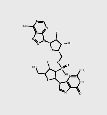 Nc1nc2c(ncn2C2OC(CO)[C@@H](F)[C@H]2P(=O)(S)OC[C@H]2O[C@@H](n3nnc4c(N)ncnc43)[C@@H](F)[C@@H]2O)c(=O)[nH]1